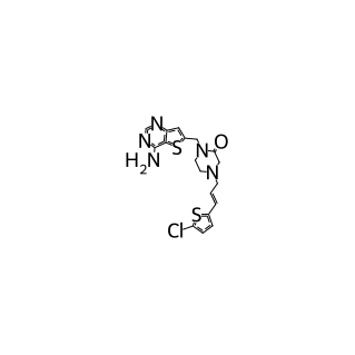 Nc1ncnc2cc(CN3CCN(CC=Cc4ccc(Cl)s4)CC3=O)sc12